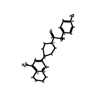 Nc1nc(N2CCN(C(=O)Nc3ccc(Cl)cc3)CC2)nc2c1CCCC2